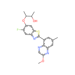 COc1cnc2c(-c3nc4cc(F)c(OC(C)C(C)O)cc4s3)cc(C)cc2n1